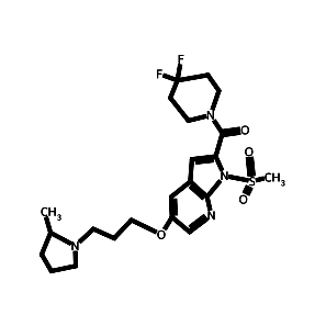 CC1CCCN1CCCOc1cnc2c(c1)cc(C(=O)N1CCC(F)(F)CC1)n2S(C)(=O)=O